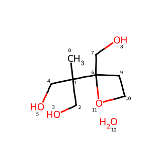 CC(CO)(CO)C1(CO)CCO1.O